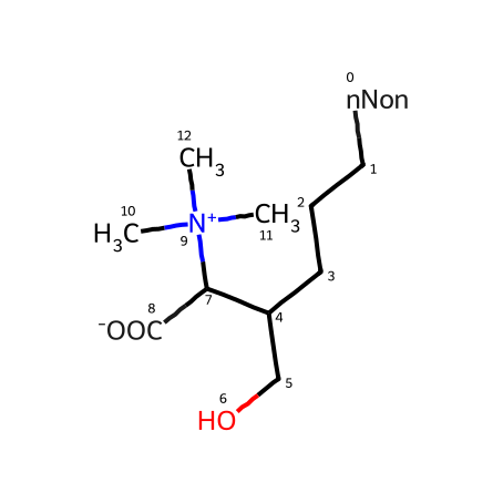 CCCCCCCCCCCCC(CO)C(C(=O)[O-])[N+](C)(C)C